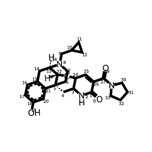 O=C1NC2C[C@]34CCN(CC5CC5)[C@H](Cc5ccc(O)cc53)[C@@H]4CC2C=C1C(=O)N1CCCC1